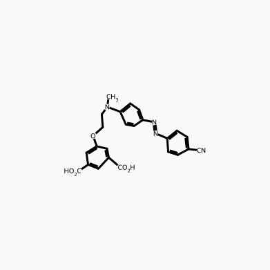 CN(CCOc1cc(C(=O)O)cc(C(=O)O)c1)c1ccc(N=Nc2ccc(C#N)cc2)cc1